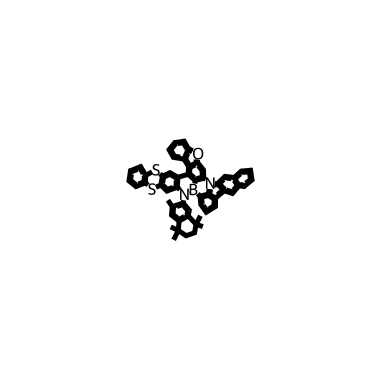 Cc1cc2c(cc1N1B3c4c(cc5oc6ccccc6c5c4-c4cc5c(cc41)Sc1ccccc1S5)-n1c4cc5ccccc5cc4c4cccc3c41)C(C)(C)CCC2(C)C